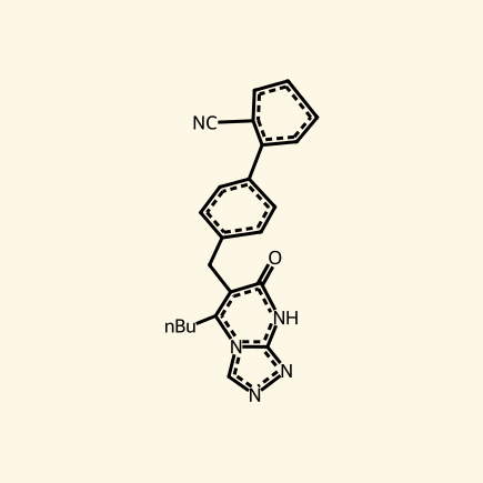 CCCCc1c(Cc2ccc(-c3ccccc3C#N)cc2)c(=O)[nH]c2nncn12